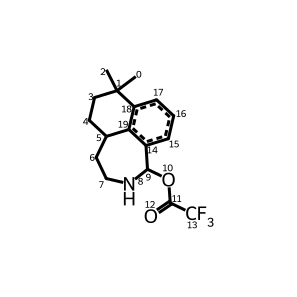 CC1(C)CCC2CCNC(OC(=O)C(F)(F)F)c3cccc1c32